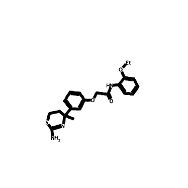 CCOc1ccccc1NC(=O)COc1cccc(C2(C)CCSC(N)=N2)c1